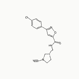 N#CN1CCC(CNC(=O)c2cc(-c3ccc(Cl)cc3)no2)C1